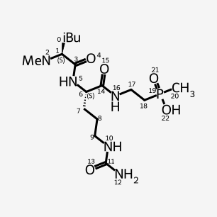 CCC(C)[C@H](NC)C(=O)N[C@@H](CCCNC(N)=O)C(=O)NCCP(C)(=O)O